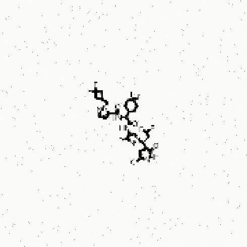 O=C(N[C@H](C(=O)Nc1cn([C@@H](CC(F)F)c2cc(Cl)n[nH]c2=O)nc1F)C1CCC(F)(F)CC1)c1ccnn1CC1CC(F)(F)C1